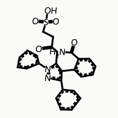 NC(=O)c1ccccc1-c1c(-c2ccccc2)nn(-c2ccccc2)c1CC(=O)CCS(=O)(=O)O